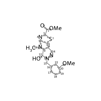 COC(=O)c1nc2c(s1)c1c(n2C)C(O)N(Cc2cccc(OC)c2)N=C1